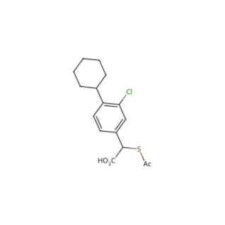 CC(=O)SC(C(=O)O)c1ccc(C2CCCCC2)c(Cl)c1